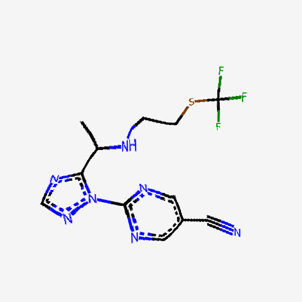 CC(NCCSC(F)(F)F)c1ncnn1-c1ncc(C#N)cn1